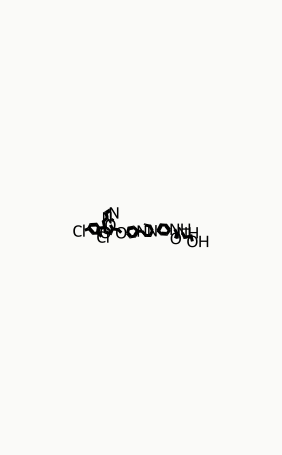 O=C(NCCO)Nc1ccc(N2CCN(c3ccc(OCC4COC(Cn5ccnc5)(c5ccc(Cl)cc5Cl)O4)cc3)CC2)cc1